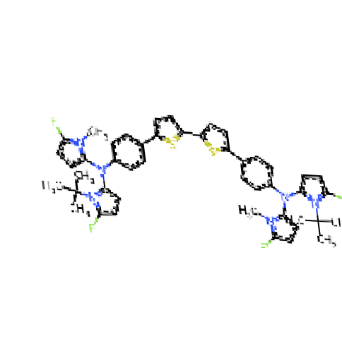 Cn1c(F)ccc1N(c1ccc(-c2ccc(-c3ccc(-c4ccc(N(c5ccc(F)n5C)c5ccc(F)n5C(C)(C)C)cc4)s3)s2)cc1)c1ccc(F)n1C(C)(C)C